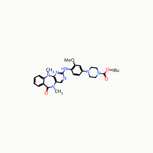 COc1cc(N2CCN(C(=O)OC(C)(C)C)CC2)ccc1Nc1ncc2c(n1)N(C)c1ccccc1C(=O)N2C